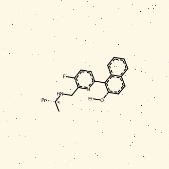 CCOc1ccc2ccccc2c1-c1ccc(F)c(CN[C@H](C)C(C)C)n1